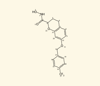 O=C(NO)C1CCc2ccc(OCc3ccc(C(F)(F)F)cc3)cc2O1